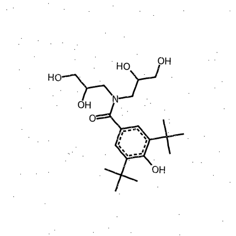 CC(C)(C)c1cc(C(=O)N(CC(O)CO)CC(O)CO)cc(C(C)(C)C)c1O